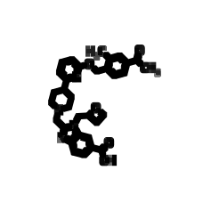 CC(=O)c1ccc(COc2cccc(C3CCN(Cc4nc5ccc(C(=O)O)cc5n4CC4CCO4)CC3)n2)c(C)c1